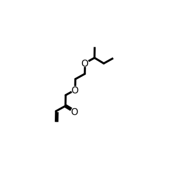 C=CC(=O)COCCOC(C)CC